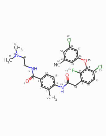 Cc1cc(C(=O)NCCN(C)C)ccc1NC(=O)Cc1ccc(Cl)c(Oc2cc(Cl)cc(C#N)c2)c1F